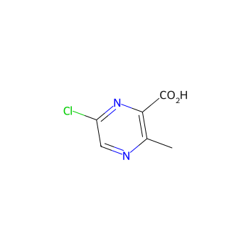 Cc1ncc(Cl)nc1C(=O)O